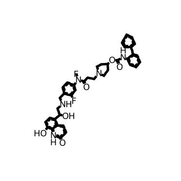 O=C(Nc1ccccc1-c1ccccc1)OC1CCN(CCC(=O)N(F)c2ccc(CNCC(O)c3ccc(O)c4[nH]c(=O)ccc34)c(F)c2)CC1